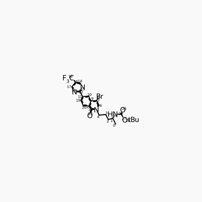 CC(CCCn1cc(Br)c2cc(-c3ncc(C(F)(F)F)cn3)ccc2c1=O)NC(=O)OC(C)(C)C